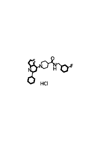 Cl.O=C(NCc1cccc(F)c1)C1CCN(c2cc(-c3ccccc3)nc3ccsc23)CC1